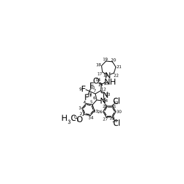 COc1ccc(C2C(C(F)(F)F)C(C(=O)NN3CCCCCC3)=NN2c2ccc(Cl)cc2Cl)cc1